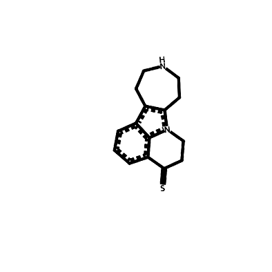 S=C1CCn2c3c(c4cccc1c42)CCNCC3